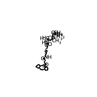 CC(CC(C)(C)OCC(C)C(C)(C)N)NC(=O)OCCSSCCNC(=O)CCC(=O)N1Cc2ccccc2/C=C\c2ccccc21